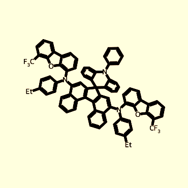 CCc1ccc(N(c2cc3c(c4ccccc24)-c2c(cc(N(c4ccc(CC)cc4)c4cccc5c4oc4c(C(F)(F)F)cccc45)c4ccccc24)C32c3ccccc3N(c3ccccc3)c3ccccc32)c2cccc3c2oc2c(C(F)(F)F)cccc23)cc1